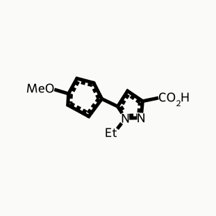 CCn1nc(C(=O)O)cc1-c1ccc(OC)cc1